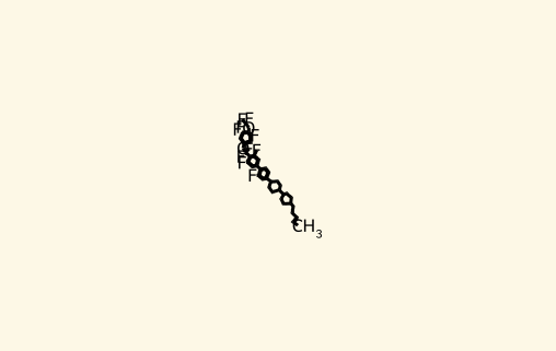 C/C=C/CCC1CCC(C2CCC(c3ccc(-c4cc(F)c(C(F)(F)Oc5cc(F)c(OC(F)(F)F)c(F)c5)c(F)c4)c(F)c3)CC2)CC1